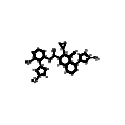 CCC(Nc1ncnc(N)c1-c1nnc(C)o1)c1nc2cccc(-c3cnn(C)c3)c2c(=O)n1C1CC1